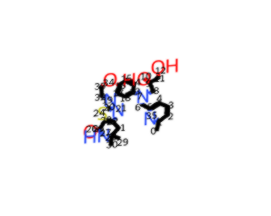 Cc1cccc(CN(CC(O)CO)c2ccc3c(c2)N(c2nc4c(s2)C(=O)NC(C)(C)C4)CCO3)n1